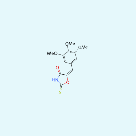 COc1cc(C=C2OC(=S)NC2=O)cc(OC)c1OC